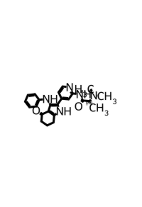 C[C@H](C(=O)Nc1cc(-c2[nH]c3c(c2Nc2ccccc2)C(=O)CCC3)ccn1)N(C)C